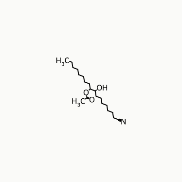 CCCCCCCCC(OC(C)=O)C(O)CCCCCCCC#N